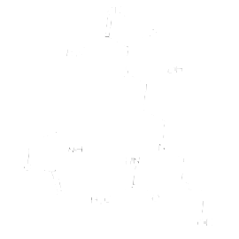 C=C(C)C(=O)OC(O)CCN(CC=CO)NC(C)=O.O=C1NCCO1